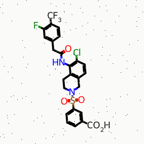 O=C(Cc1ccc(C(F)(F)F)c(F)c1)Nc1c(Cl)ccc2c1CCN(S(=O)(=O)c1cccc(C(=O)O)c1)C2